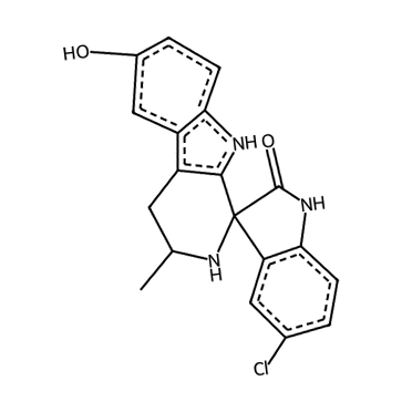 CC1Cc2c([nH]c3ccc(O)cc23)C2(N1)C(=O)Nc1ccc(Cl)cc12